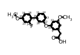 COc1cc(CC(=O)O)cc(Oc2cccc(-c3ccc(OC)cc3F)c2)c1